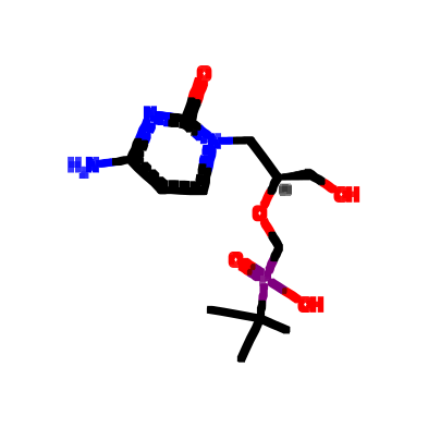 CC(C)(C)P(=O)(O)CO[C@H](CO)Cn1ccc(N)nc1=O